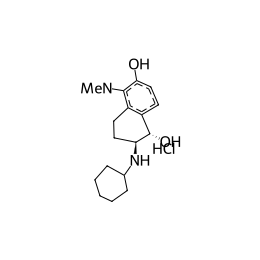 CNc1c(O)ccc2c1CC[C@H](NC1CCCCC1)[C@H]2O.Cl